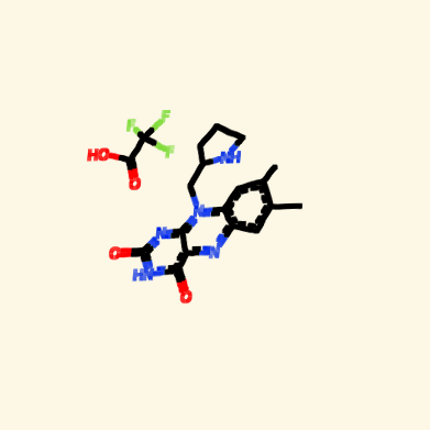 Cc1cc2nc3c(=O)[nH]c(=O)nc-3n(CC3CCCN3)c2cc1C.O=C(O)C(F)(F)F